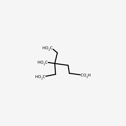 O=C(O)CCC(CC(=O)O)(CC(=O)O)C(=O)O